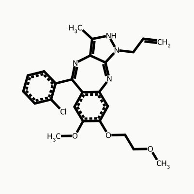 C=CCN1NC(C)=C2N=C(c3ccccc3Cl)c3cc(OC)c(OCCOC)cc3N=C21